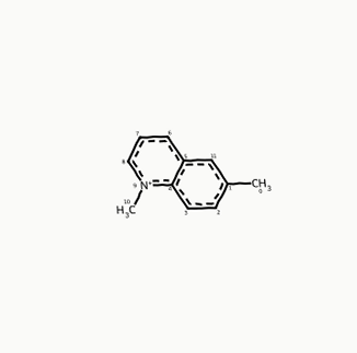 Cc1ccc2c(ccc[n+]2C)c1